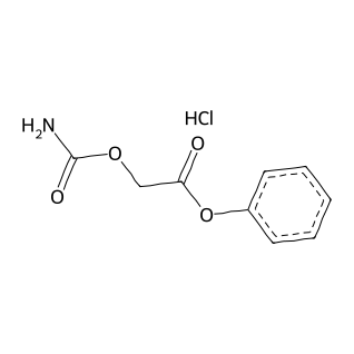 Cl.NC(=O)OCC(=O)Oc1ccccc1